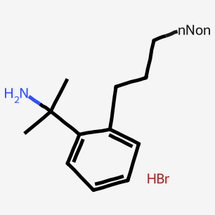 Br.CCCCCCCCCCCCc1ccccc1C(C)(C)N